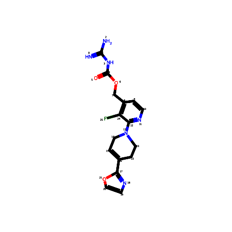 N=C(N)NC(=O)OCc1ccnc(N2CC=C(c3ncco3)CC2)c1F